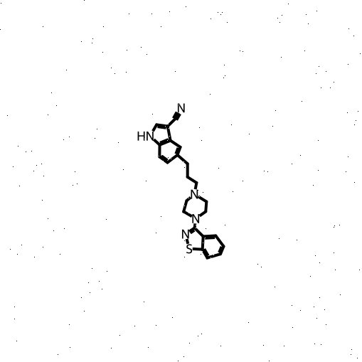 N#Cc1c[nH]c2ccc(CCCN3CCN(c4nsc5ccccc45)CC3)cc12